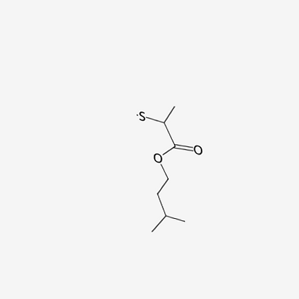 CC(C)CCOC(=O)C(C)[S]